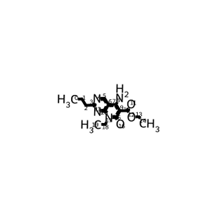 CCCc1ncc2c(N)c(C(=O)OCC)c(=O)n(CC)c2n1